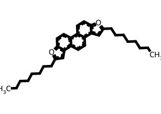 CCCCCCCCc1cc2c(ccc3c2ccc2c4cc(CCCCCCCC)oc4ccc23)o1